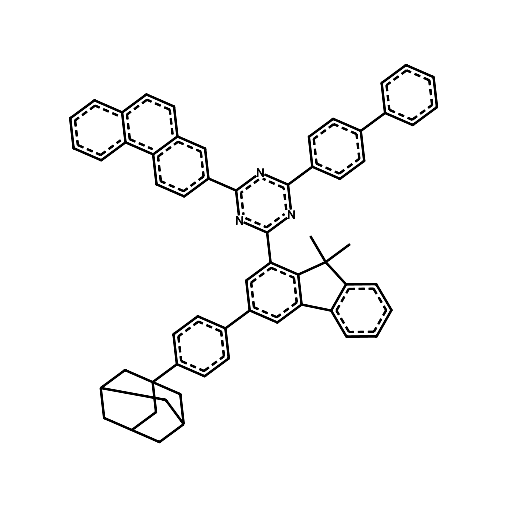 CC1(C)c2ccccc2-c2cc(-c3ccc(C45CC6CC(CC(C6)C4)C5)cc3)cc(-c3nc(-c4ccc(-c5ccccc5)cc4)nc(-c4ccc5c(ccc6ccccc65)c4)n3)c21